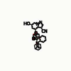 CS(=O)(=O)c1ccccc1CN1C2CC1CN(c1ccc(-c3cc(O)cn4ncc(C#N)c34)cn1)C2